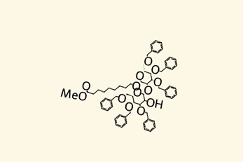 COC(=O)CCCCCCCCO[C@H]1O[C@H](COCc2ccccc2)[C@@H](OCc2ccccc2)[C@H](OCc2ccccc2)[C@@H]1O[C@@H]1O[C@H](COCc2ccccc2)[C@@H](OCc2ccccc2)[C@H](OCc2ccccc2)[C@@H]1O